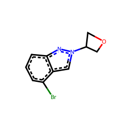 Brc1cccc2nn(C3COC3)cc12